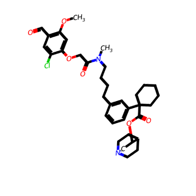 COc1cc(OCC(=O)N(C)CCCCc2cccc(C3(C(=O)OC4CN5CCC4CC5)CCCCC3)c2)c(Cl)cc1C=O